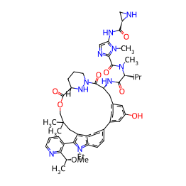 CCn1c(-c2cccnc2[C@H](C)OC)c2c3cc(ccc31)-c1cc(O)cc(c1)C[C@H](NC(=O)[C@H](C(C)C)N(C)C(=O)c1ncc(NC(=O)[C@H]3CN3)n1C)C(=O)N1CCC[C@H](N1)C(=O)OCC(C)(C)C2